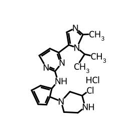 Cc1ncc(-c2ccnc(Nc3ccccc3N3CCNC(Cl)C3)n2)n1C(C)C.Cl